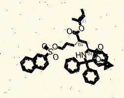 C/C=C(\C)OC(=O)[C@@H](CCCOS(=O)(=O)c1ccc2ccccc2c1)C[C@H](NC(c1ccccc1)(c1ccccc1)c1ccccc1)C(=O)OC1(C)C=C1